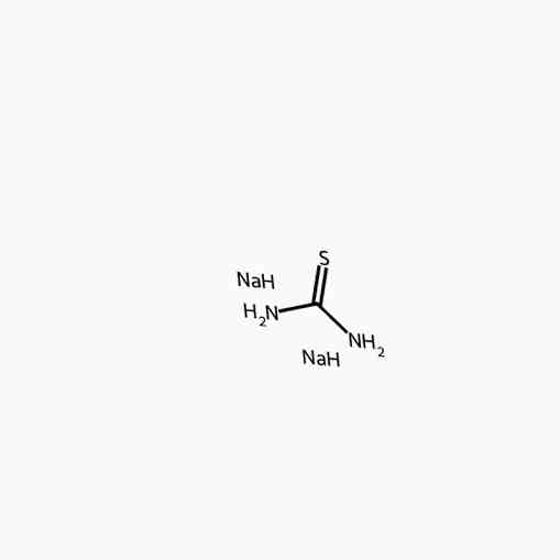 NC(N)=S.[NaH].[NaH]